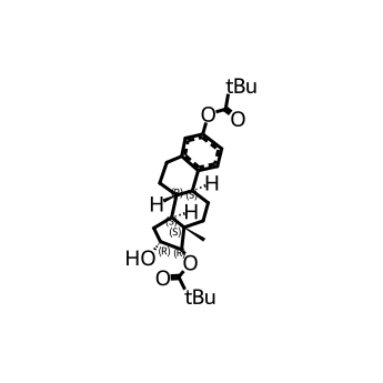 CC(C)(C)C(=O)Oc1ccc2c(c1)CC[C@@H]1[C@@H]2CC[C@@]2(C)[C@H]1C[C@@H](O)[C@@H]2OC(=O)C(C)(C)C